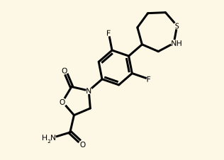 NC(=O)C1CN(c2cc(F)c(C3CCCSNC3)c(F)c2)C(=O)O1